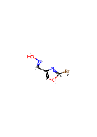 ON=Cc1coc(Br)n1